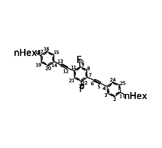 CCCCCCc1ccc(C#Cc2cc(F)c(C#Cc3ccc(CCCCCC)cc3)cc2F)cc1